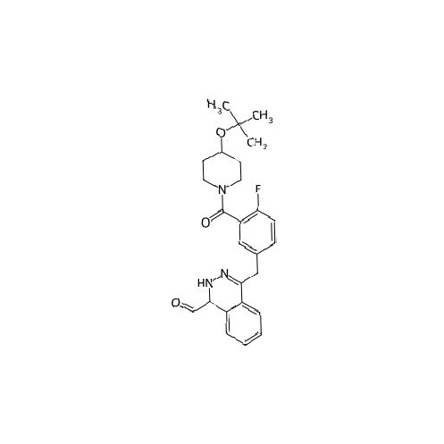 CC(C)(C)OC1CCN(C(=O)c2cc(CC3=NNC(C=O)c4ccccc43)ccc2F)CC1